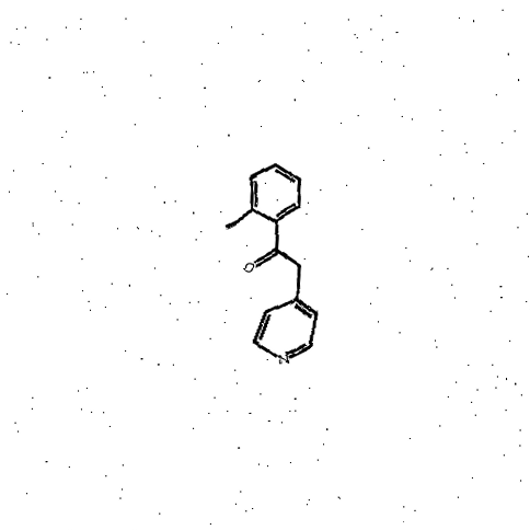 Cc1ccccc1C(=O)Cc1ccncc1